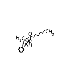 CCCCCCCC(=O)OCC1(C)CN(c2ccccc2)NC1=O